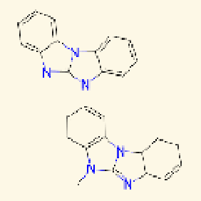 CN1C2=NC3C=CCCC3N2c2cc(-n3c4ccccc4n4c5ccccc5nc34)ccc21